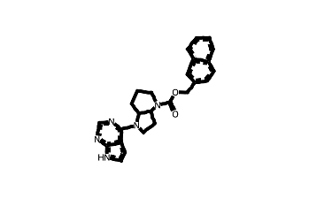 O=C(OCc1ccc2ccccc2c1)N1CCCC2C1CCN2c1ncnc2[nH]ccc12